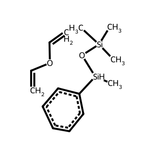 C=COC=C.C[SiH](O[Si](C)(C)C)c1ccccc1